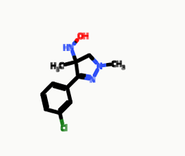 CN1CC(C)(NO)C(c2cccc(Cl)c2)=N1